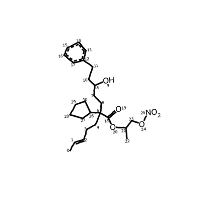 C/C=C/CCC(CCC(O)CCc1ccccc1)(C(=O)OC(C)CO[N+](=O)[O-])C1CCCC1